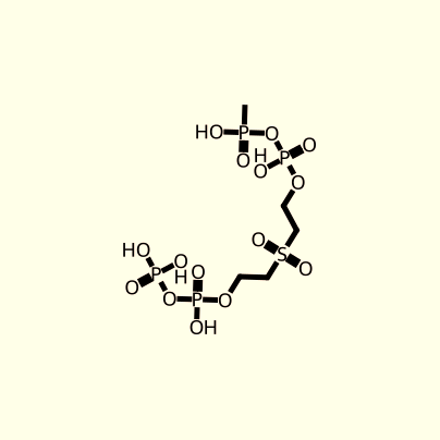 CP(=O)(O)OP(=O)(O)OCCS(=O)(=O)CCOP(=O)(O)OP(=O)(O)O